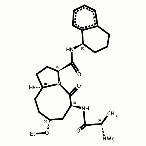 CCO[C@@H]1CC[C@H]2CC[C@@H](C(=O)N[C@@H]3CCCc4ccccc43)N2C(=O)[C@@H](NC(=O)[C@H](C)NC)C1